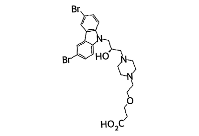 O=C(O)CCOCCN1CCN(C[C@@H](O)Cn2c3ccc(Br)cc3c3cc(Br)ccc32)CC1